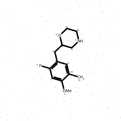 COc1cc(F)c(CC2CNCCO2)cc1C